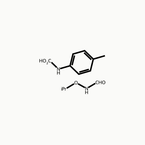 CC(C)ONC=O.Cc1ccc(NC(=O)O)cc1